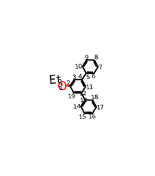 CCOc1cc(-c2ccccc2)cc(-c2ccccc2)c1